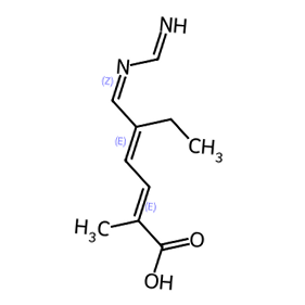 CCC(/C=N\C=N)=C\C=C(/C)C(=O)O